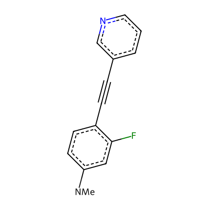 CNc1ccc(C#Cc2cccnc2)c(F)c1